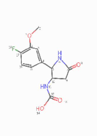 COc1cc(C2NC(=O)CC2NC(=O)O)ccc1F